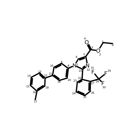 CCOC(=O)c1cn(-c2ccc(-c3cccc(C)c3)cc2)c(-c2ccccc2C(F)(F)F)n1